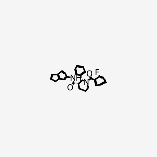 O=C(Nc1ccc2c(c1)CCC2)[C@H]1CCCN(C(=O)c2ccccc2F)[C@H]1c1ccccc1